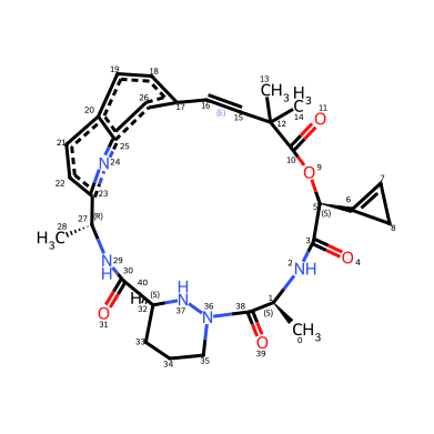 C[C@@H]1NC(=O)[C@H](C2=CC2)OC(=O)C(C)(C)/C=C/c2ccc3ccc(nc3c2)[C@@H](C)NC(=O)[C@@H]2CCCN(N2)C1=O